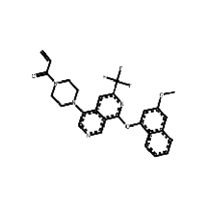 C=CC(=O)N1CCN(c2cncc3c(Oc4cc(OC)cc5ccccc45)nc(C(F)(F)F)cc23)CC1